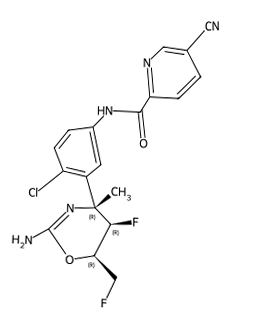 C[C@]1(c2cc(NC(=O)c3ccc(C#N)cn3)ccc2Cl)N=C(N)O[C@H](CF)[C@@H]1F